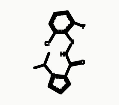 CC(C)n1cccc1C(=O)NSc1c(F)cccc1Cl